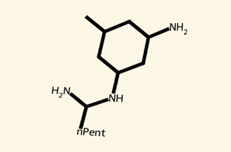 CCCCCC(N)NC1CC(C)CC(N)C1